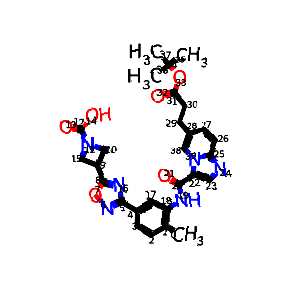 Cc1ccc(-c2noc(C3CN(C(=O)O)C3)n2)cc1NC(=O)c1cnc2ccc(CCC(=O)OC(C)(C)C)cn12